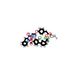 COC(=O)Cc1ccc(OCCNC(=O)[C@@H]2Cc3ccccc3N2S(=O)(=O)c2ccc(-c3cccc(C(F)(F)F)c3)c(Cl)c2)cc1